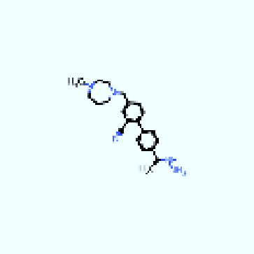 C=C(NN)c1ccc(-c2ccc(CN3CCCN(C)CC3)cc2C#N)cc1